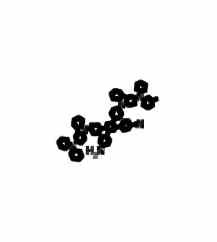 Cc1cccc(N(c2ccccc2)c2ccc3c(c2)c2ccccc2n3-c2ccc(-c3cc(-c4ccc(-n5c6ccccc6c6cc(N(c7ccccc7)c7ccccc7)ccc65)cc4)c(-c4ccc(N)cc4)cc3-c3ccc(C#N)cc3)cc2)c1